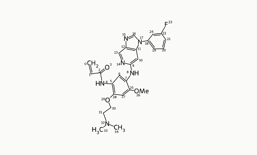 C=CC(=O)Nc1cc(Nc2cc3c(cn2)ncn3-c2cccc(F)c2)c(OC)cc1OCCN(C)C